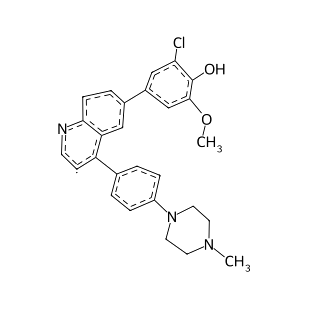 COc1cc(-c2ccc3nc[c]c(-c4ccc(N5CCN(C)CC5)cc4)c3c2)cc(Cl)c1O